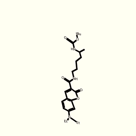 CCN(CC)c1ccc2cc(C(=O)NCCCCC(C)NC(=O)OC(C)(C)C)c(=O)oc2c1